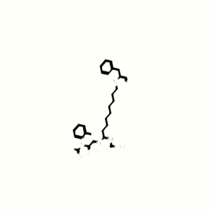 O=CC(Cc1ccccc1)NCCCCCCCCC(NC(=O)O)N[C@@H](Cc1ccccc1)C(=O)NC(=O)O